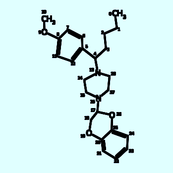 CCCCC(c1ccc(OC)cc1)N1CCN(C2COc3ccccc3O2)CC1